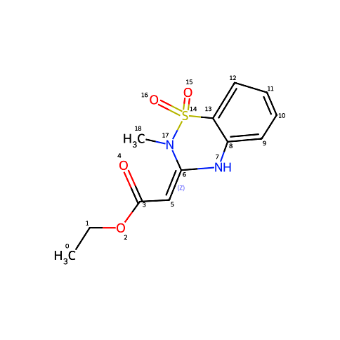 CCOC(=O)/C=C1/Nc2ccccc2S(=O)(=O)N1C